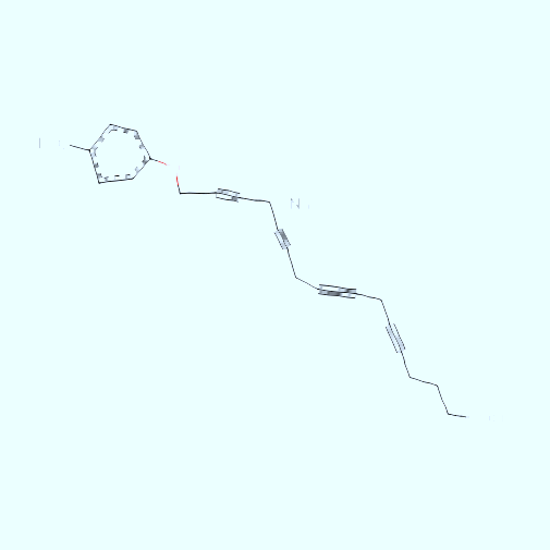 Cc1ccc(OCC#CCC#CCC#CCC#CCCCC(=O)[O-])cc1.[Na+]